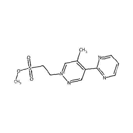 COS(=O)(=O)CC[n+]1cc(C)c(-c2ncccn2)cn1